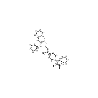 CC(CCOC(=O)N1CCC(n2c(=O)[nH]c3ccccc32)CC1)N(Cc1ccccc1)Cc1ccccc1